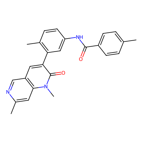 Cc1ccc(C(=O)Nc2ccc(C)c(-c3cc4cnc(C)cc4n(C)c3=O)c2)cc1